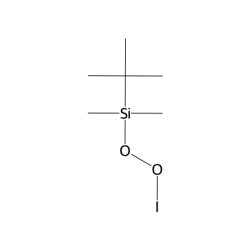 CC(C)(C)[Si](C)(C)OOI